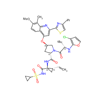 C=C[C@@H]1C[C@]1(NC(=O)[C@@H]1C[C@@H](Oc2cc(-c3nc(C(C)C)cs3)nc3c(C)c(OC)ccc23)CN1C(=O)[C@@H](Nc1occc1Cl)C(C)(C)C)C(=O)NS(=O)(=O)C1CC1